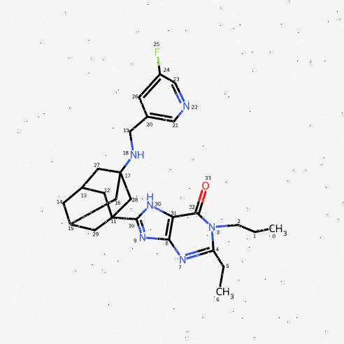 CCCn1c(CC)nc2nc(C34CC5CC(CC(NCc6cncc(F)c6)(C5)C3)C4)[nH]c2c1=O